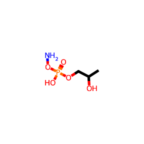 CC(O)COP(=O)(O)ON